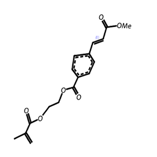 C=C(C)C(=O)OCCOC(=O)c1ccc(/C=C/C(=O)OC)cc1